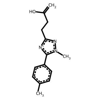 C=C(O)CCc1nc(-c2ccc(C)cc2)n(C)n1